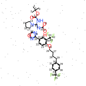 CC(C)(C)OC(=O)N/C(=N\C(=O)O)N1CCC[C@H]1c1nc(-c2ccc(OCCCCc3ccc(C(F)(F)F)cc3)c(C(F)(F)F)c2)no1